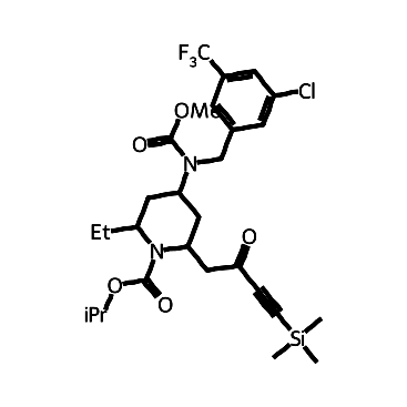 CCC1CC(N(Cc2cc(Cl)cc(C(F)(F)F)c2)C(=O)OC)CC(CC(=O)C#C[Si](C)(C)C)N1C(=O)OC(C)C